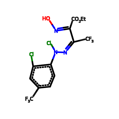 CCOC(=O)C(=NO)C(=NN(Cl)c1ccc(C(F)(F)F)cc1Cl)C(F)(F)F